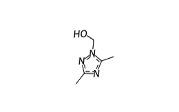 Cc1nc(C)n(CO)n1